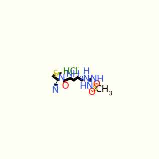 CS(=O)(=O)NC(=N)NCCC[C@H](N)C(=O)N1CSC[C@H]1C#N.Cl